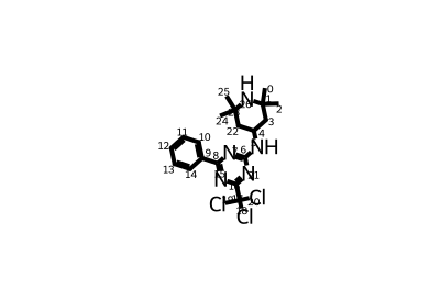 CC1(C)CC(Nc2nc(-c3ccccc3)nc(C(Cl)(Cl)Cl)n2)CC(C)(C)N1